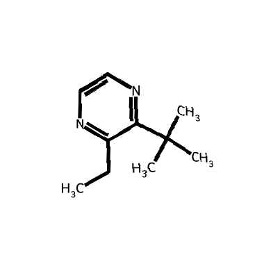 CCc1nccnc1C(C)(C)C